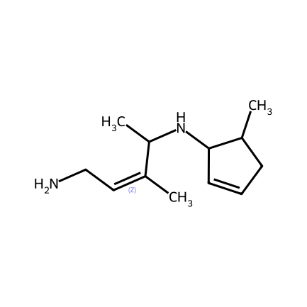 C/C(=C/CN)C(C)NC1C=CCC1C